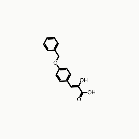 O=C(O)/C(O)=C/c1ccc(OCc2ccccc2)cc1